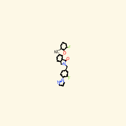 N#Cc1cccc(F)c1Oc1cccc2c1C(=O)N(Cc1ccc(-n3cccn3)c(F)c1)C2